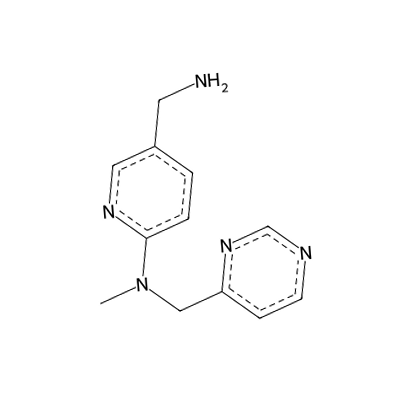 CN(Cc1ccncn1)c1ccc(CN)cn1